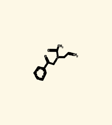 C=CCN(CC(=O)c1ccccc1)C(C)=O